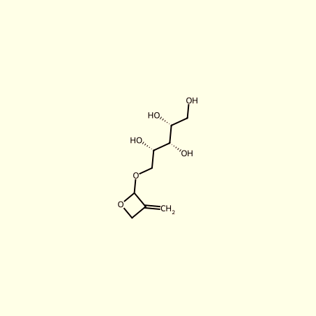 C=C1COC1OC[C@H](O)[C@@H](O)[C@H](O)CO